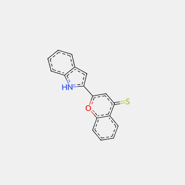 S=c1cc(-c2cc3ccccc3[nH]2)oc2ccccc12